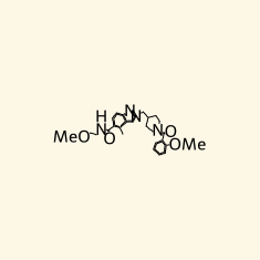 COCCNC(=O)c1ccc2nn(CC3CCN(C(=O)c4ccccc4OC)CC3)cc2c1C